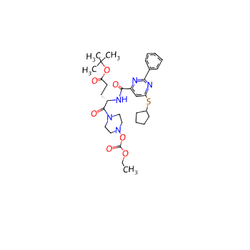 CCOC(=O)ON1CCN(C(=O)[C@H](CCC(=O)OC(C)(C)C)NC(=O)c2cc(SC3CCCC3)nc(-c3ccccc3)n2)CC1